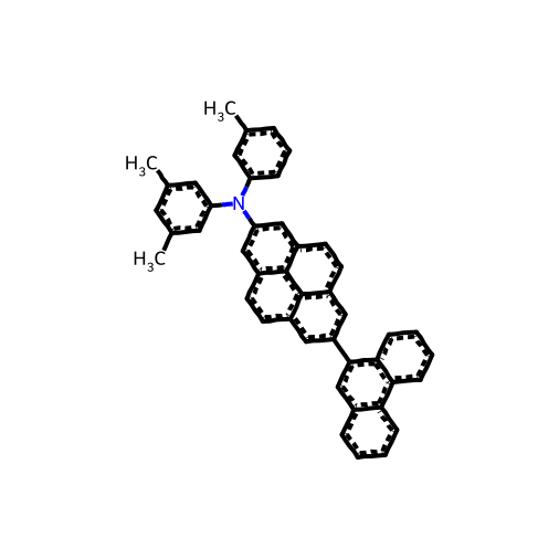 Cc1cccc(N(c2cc(C)cc(C)c2)c2cc3ccc4cc(-c5cc6ccccc6c6ccccc56)cc5ccc(c2)c3c45)c1